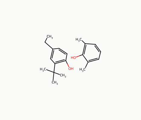 CCc1ccc(O)c(C(C)(C)C)c1.Cc1cccc(C)c1O